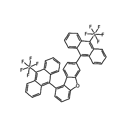 FS(F)(F)(F)(F)c1c2ccccc2c(-c2ccc3c(c2)oc2cccc(-c4c5ccccc5c(S(F)(F)(F)(F)F)c5ccccc45)c23)c2ccccc12